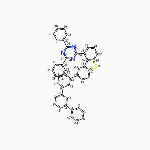 c1ccc(-c2cccc(-c3cccc(-c4ccc5sc6cccc(-c7nc(-c8ccccc8)nc(-c8ccccc8)n7)c6c5c4)c3)c2)cc1